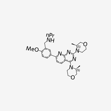 CCCNCc1cc(-c2ccc3c(N4CCOC[C@@H]4C)nc(N4CCOC[C@@H]4C)nc3n2)ccc1OC